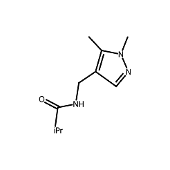 Cc1c(CNC(=O)C(C)C)cnn1C